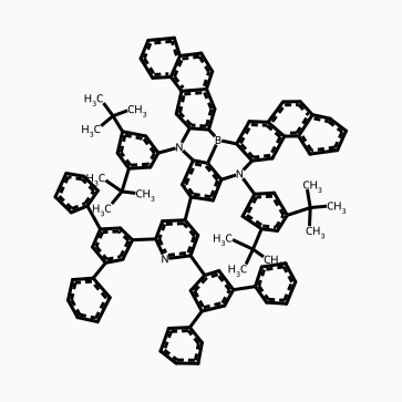 CC(C)(C)c1cc(N2c3cc4c(ccc5ccccc54)cc3B3c4cc5ccc6ccccc6c5cc4N(c4cc(C(C)(C)C)cc(C(C)(C)C)c4)c4cc(-c5cc(-c6cc(-c7ccccc7)cc(-c7ccccc7)c6)nc(-c6cc(-c7ccccc7)cc(-c7ccccc7)c6)c5)cc2c43)cc(C(C)(C)C)c1